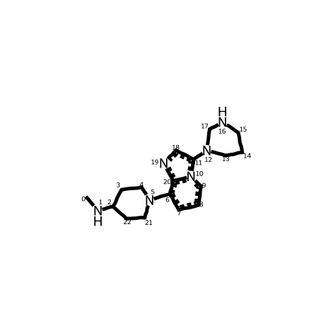 CNC1CCN(c2cccn3c(N4CCCNC4)cnc23)CC1